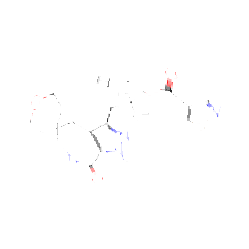 CCn1nc(CC(C)(C)COC(=O)c2cnsc2)c2c1C(=O)NCC1(CCOCC1)C2